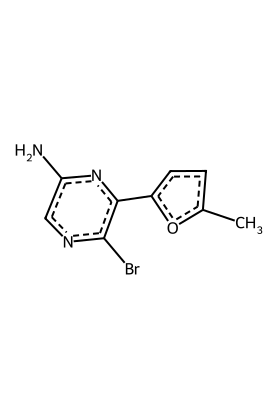 Cc1ccc(-c2nc(N)cnc2Br)o1